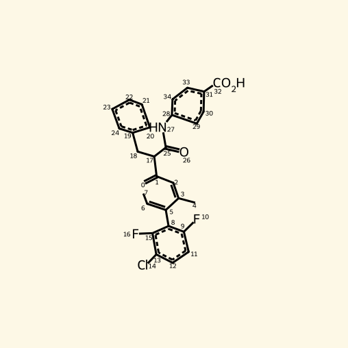 C=C(/C=C(C)\C(=C/C)c1c(F)ccc(Cl)c1F)C(Cc1ccccc1)C(=O)Nc1ccc(C(=O)O)cc1